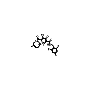 CC1=CC[C@H]2CN(C1)C(=O)c1c(O)c(=O)c(C(=O)NCc3c(F)cc(C)cc3F)cn12